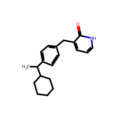 CC(c1ccc(Cc2ccc[nH]c2=O)cc1)C1CCCCC1